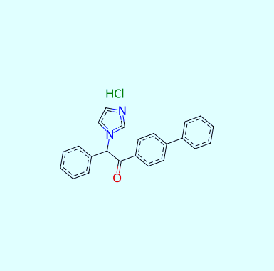 Cl.O=C(c1ccc(-c2ccccc2)cc1)C(c1ccccc1)n1ccnc1